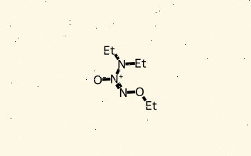 CCO/N=[N+](/[O-])N(CC)CC